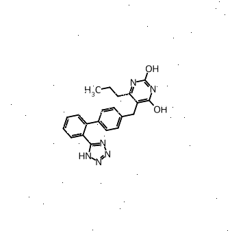 CCCc1nc(O)nc(O)c1Cc1ccc(-c2ccccc2-c2nnn[nH]2)cc1